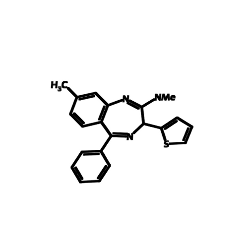 CNC1=Nc2cc(C)ccc2C(c2ccccc2)=NC1c1cccs1